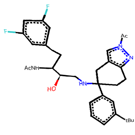 CC(=O)NC(Cc1cc(F)cc(F)c1)[C@H](O)CNC1(c2cccc(C(C)(C)C)c2)CCc2nn(C(C)=O)cc2C1